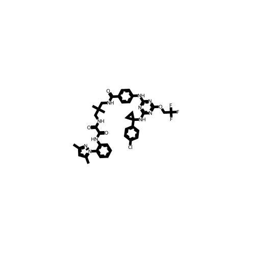 Cc1cc(C)n(-c2ccccc2NC(=O)C(=O)NCC(C)(C)CNC(=O)c2ccc(Nc3nc(NC4(c5ccc(Cl)cc5)CC4)nc(OCC(F)(F)F)n3)cc2)n1